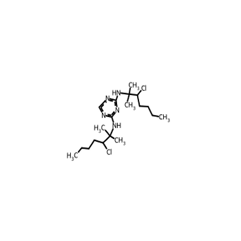 CCCCC(Cl)C(C)(C)Nc1ncnc(NC(C)(C)C(Cl)CCCC)n1